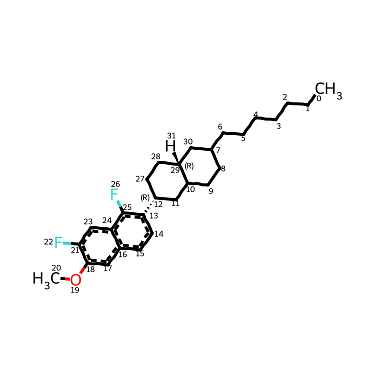 CCCCCCCC1CCC2C[C@H](c3ccc4cc(OC)c(F)cc4c3F)CC[C@@H]2C1